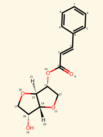 O=C(/C=C/c1ccccc1)O[C@@H]1CO[C@H]2[C@H]1OC[C@H]2O